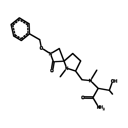 CC(O)C(C(N)=O)N(C)CC1CCC2(CN(OCc3ccccc3)C2=O)N1C